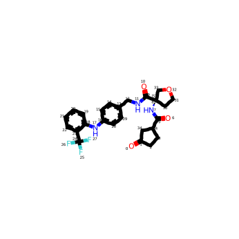 O=C1CCC(C(=O)N[C@@]2(C(=O)NCc3ccc(Nc4ccccc4C(F)(F)F)cc3)CCOC2)C1